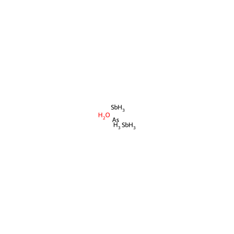 O.[AsH3].[SbH3].[SbH3]